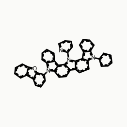 c1ccc(-n2c3ccccc3c3c2ccc2c4ccc5c(c6ccccc6n5-c5cccc6c5oc5ccccc56)c4n(-c4ccccn4)c23)cc1